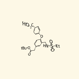 CCS(=O)(=O)NCc1cc(CC(=O)OC(C)(C)C)ccc1Oc1ccc(C(=O)O)cc1